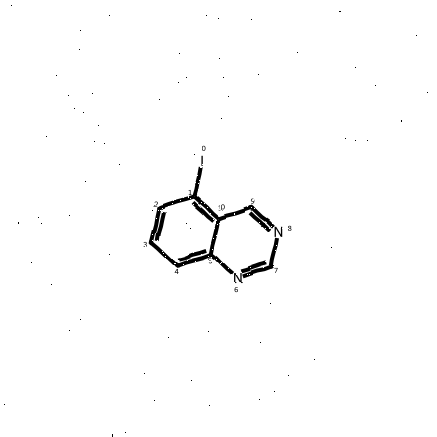 Ic1cccc2ncn[c]c12